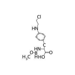 COBNC(Cc1ccc(NCCCl)cc1)C(=O)O